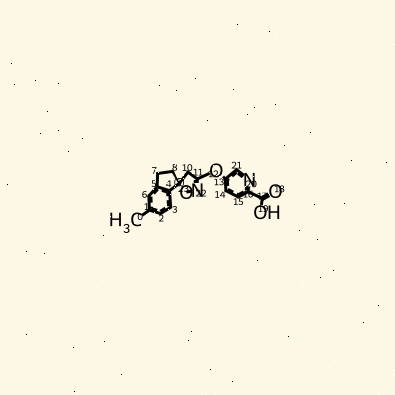 Cc1ccc2c(c1)CC[C@]21CC(Oc2ccc(C(=O)O)nc2)=NO1